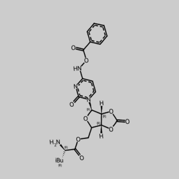 CC[C@@H](C)[C@@H](N)C(=O)OCC1O[C@@H](n2ccc(NOC(=O)c3ccccc3)nc2=O)[C@@H]2OC(=O)O[C@H]12